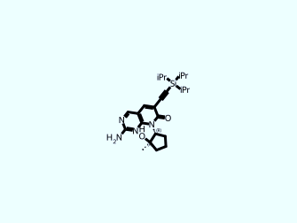 CC(C)[Si](C#Cc1cc2cnc(N)nc2n([C@@H]2CCC[C@@]2(C)O)c1=O)(C(C)C)C(C)C